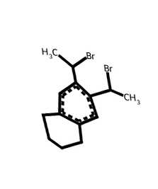 CC(Br)c1cc2c(cc1C(C)Br)CCCC2